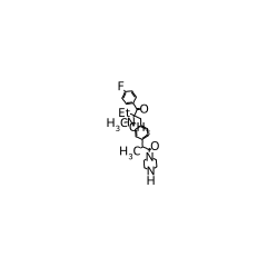 CCC(Cc1ccc(C(C)C(=O)N2CCNCC2)cc1)(C(=O)c1ccc(F)cc1)N(C)C